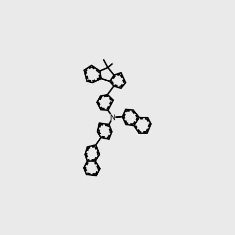 CC1(C)c2ccccc2-c2c(-c3cccc(N(c4ccc(-c5ccc6ccccc6c5)cc4)c4ccc5ccccc5c4)c3)cccc21